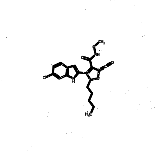 CCCCCC1OC(=C=O)C(C(=O)NOC)=C1c1cc2ccc(Cl)cc2[nH]1